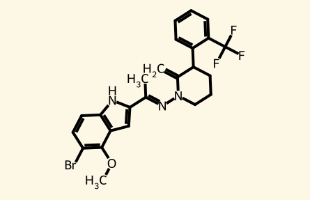 C=C1C(c2ccccc2C(F)(F)F)CCCN1/N=C(\C)c1cc2c(OC)c(Br)ccc2[nH]1